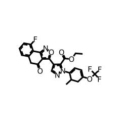 CCOC(=O)c1c(-c2onc3c2C(=O)Cc2cccc(F)c2-3)cnn1C1=CC=C(OC(F)(F)F)CC1C